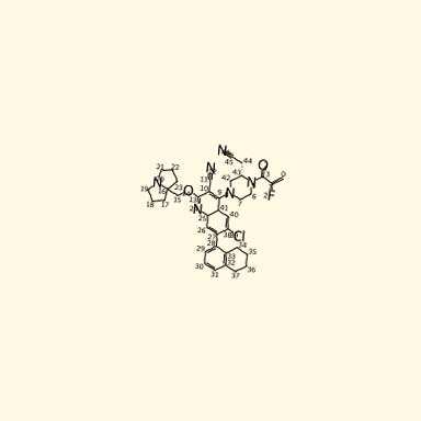 C=C(F)C(=O)N1CCN(C2=C(C#N)C(OCC34CCCN3CCC4)=NC3C=C(c4cccc5c4CCCC5)C(Cl)=CC23)C[C@@H]1CC#N